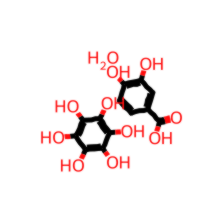 O.O=C(O)c1ccc(O)c(O)c1.Oc1c(O)c(O)c(O)c(O)c1O